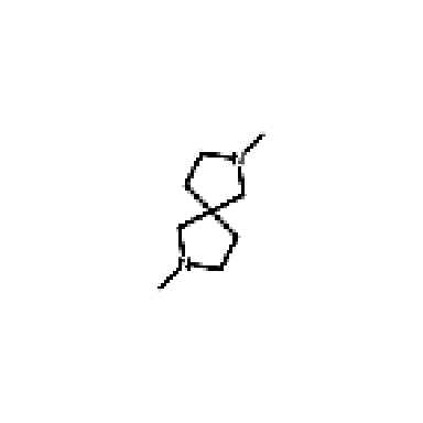 CN1CCC2(CCN(C)C2)C1